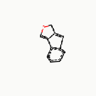 C1=C2COC=C2c2ccccc21